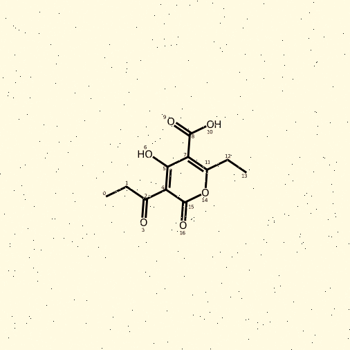 CCC(=O)c1c(O)c(C(=O)O)c(CC)oc1=O